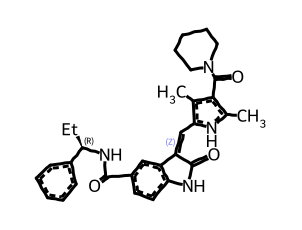 CC[C@@H](NC(=O)c1ccc2c(c1)/C(=C/c1[nH]c(C)c(C(=O)N3CCCCC3)c1C)C(=O)N2)c1ccccc1